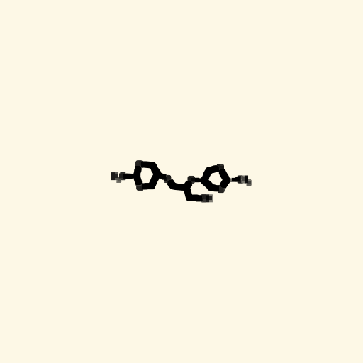 C[C@H]1OC[C@@H](OCC(CO)O[C@H]2CO[C@@H](C)OC2)CO1